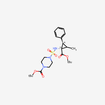 CC1[C@H](c2ccccc2)[C@]1(NS(=O)(=O)N1CCN(C(=O)OC(C)(C)C)CC1)C(=O)OC(C)(C)C